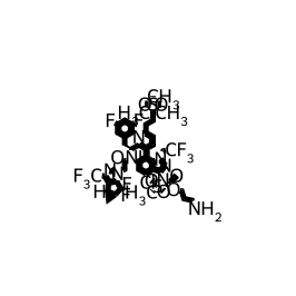 CC(C)(CCc1ccc(-c2ccc(Cl)c3c(N(C(=O)OCCCN)S(C)(=O)=O)nn(CC(F)(F)F)c23)c([C@H](Cc2cc(F)cc(F)c2)NC(=O)Cn2nc(C(F)(F)F)c3c2C(F)(F)C2C[C@H]32)n1)S(C)(=O)=O